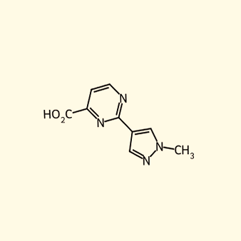 Cn1cc(-c2nccc(C(=O)O)n2)cn1